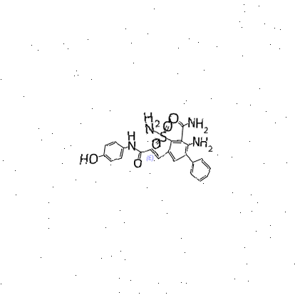 NC(=O)c1c(N)c(-c2ccccc2)cc(/C=C/C(=O)Nc2ccc(O)cc2)c1S(N)(=O)=O